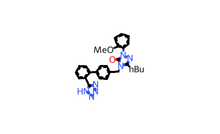 CCCCc1nn(-c2ccccc2OC)c(=O)n1Cc1ccc(-c2ccccc2-c2nnn[nH]2)cc1